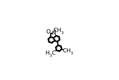 Cc1cc(C)cc(-c2ccc3c4c(cccc24)C(=O)N3C)c1